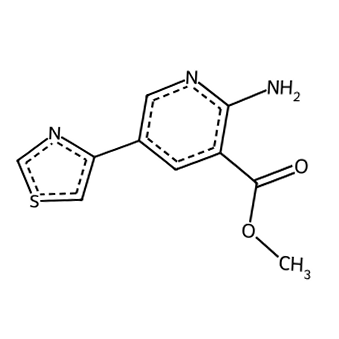 COC(=O)c1cc(-c2cscn2)cnc1N